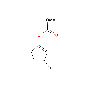 CCC1C=C(OC(=O)OC)CC1